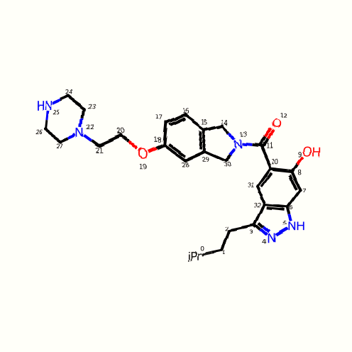 CC(C)CCc1n[nH]c2cc(O)c(C(=O)N3Cc4ccc(OCCN5CCNCC5)cc4C3)cc12